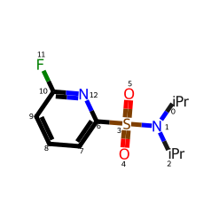 CC(C)N(C(C)C)S(=O)(=O)c1cccc(F)n1